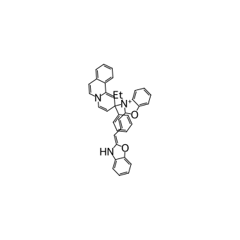 CC[N+]1(C2(c3ccccc3)C=CN3C=Cc4ccccc4C3=C2)c2ccccc2OC1C=CC=C1Nc2ccccc2O1